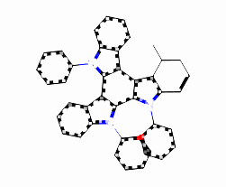 CC1CC=Cc2c1c1c3c4ccccc4n(-c4ccccc4)c3c3c4ccccc4n(-c4ccccc4)c3c1n2-c1ccccc1